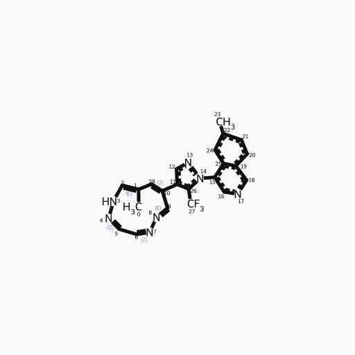 CC1=C/N\N=C/C=N\N=C\C(c2cnn(-c3cncc4ccc(C)cc34)c2C(F)(F)F)=C/1